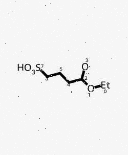 CCOC([O])CCCS(=O)(=O)O